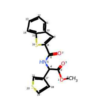 COC(=O)C(NC(=O)c1cc2ccccc2s1)c1ccsc1